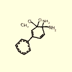 C.NC1(N)C=CC(c2ccccc2)=CC1(Cl)Cl